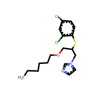 CCCCCCOCC(Cn1ccnc1)Sc1ccc(Cl)cc1Cl